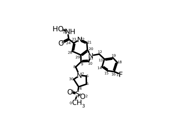 CS(=O)(=O)C1CCN(Cc2cn(Cc3ccc(F)cc3)c3cnc(C(=O)NO)cc23)C1